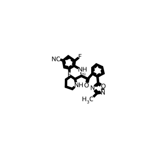 Cc1noc(-c2ccccc2C(=O)[C@@H](Nc2c(F)cc(C#N)cc2F)C2CCCCN2)n1